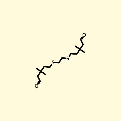 CC(C)(CC=O)CCSCCSCCC(C)(C)CC=O